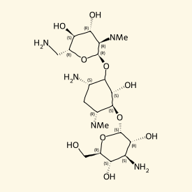 CN[C@H]1[C@@H](OC2[C@@H](N)C[C@@H](NC)[C@H](O[C@H]3O[C@H](CO)[C@@H](O)[C@H](N)[C@H]3O)[C@H]2O)O[C@H](CN)[C@@H](O)[C@@H]1O